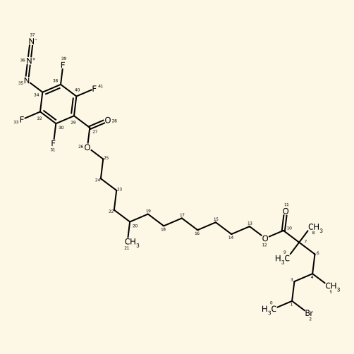 CC(Br)CC(C)CC(C)(C)C(=O)OCCCCCCCC(C)CCCCOC(=O)c1c(F)c(F)c(N=[N+]=[N-])c(F)c1F